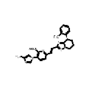 COc1nc(/C=C/c2nc3n(n2)CCC[C@@H]3c2ccccc2C(F)(F)F)ccc1-n1cnc(C)c1